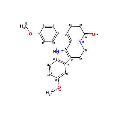 COc1ccc(C2=C3c4[nH]c5ccc(OC)cc5c4CCN3C(=O)CC2)cc1